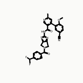 COc1ccc(C#N)cc1-c1cc(C)ncc1C(=O)Nc1nc2c(s1)CN(C(=O)c1ccc(C(F)F)cc1)C2